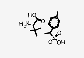 CC(C)(C)[C@H](N)C(=O)O.Cc1ccc(C(C)S(=O)(=O)O)cc1